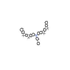 CC1(C)c2cc3c(cc2-c2cc4ccccc4cc21)-c1cc2ccc(N(c4ccc(-c5ccccc5)cc4)c4ccc5cc6c(cc5c4)C(C)(C)c4cc5c(cc4-6)-c4cc6ccccc6cc4C5(C)C)cc2cc1C3(C)C